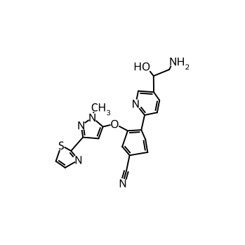 Cn1nc(-c2nccs2)cc1Oc1cc(C#N)ccc1-c1ccc(C(O)CN)cn1